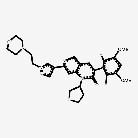 COc1cc(OC)c(F)c(-c2cc3cnc(-c4cnn(CCN5CCOCC5)c4)cc3n(C3CCOC3)c2=O)c1F